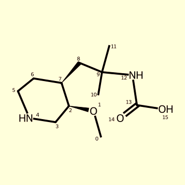 CO[C@H]1CNCC[C@H]1CC(C)(C)NC(=O)O